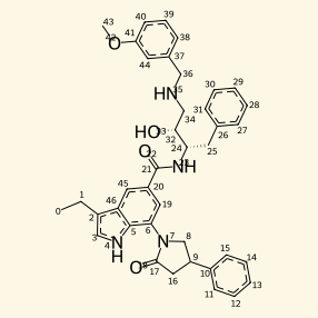 CCc1c[nH]c2c(N3CC(c4ccccc4)CC3=O)cc(C(=O)N[C@@H](Cc3ccccc3)[C@H](O)CNCc3cccc(OC)c3)cc12